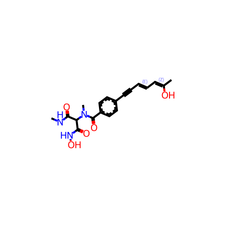 CNC(=O)C(C(=O)NO)N(C)C(=O)c1ccc(C#C/C=C/C=C(/C)O)cc1